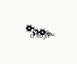 CCOC(=O)/C=C(/CN(CCCl)Cc1ccccc1)c1ccc(OC(C)(C)C)cc1